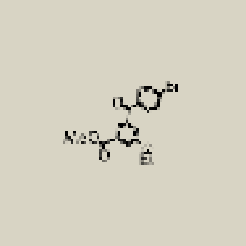 CCOc1cc(C(=O)OC)cc(C(=O)c2ccc(Br)cc2)c1